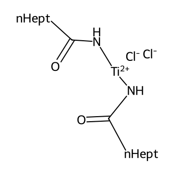 CCCCCCCC(=O)[NH][Ti+2][NH]C(=O)CCCCCCC.[Cl-].[Cl-]